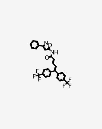 O=C(C=CC=C(c1ccc(C(F)(F)F)cc1)c1ccc(C(F)(F)F)cc1)Nc1cc(-c2ccccc2)no1